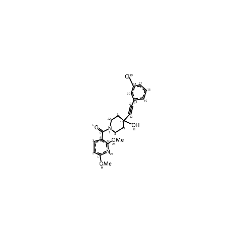 COc1ccc(C(=O)N2CCC(O)(C#Cc3cccc(Cl)c3)CC2)c(OC)n1